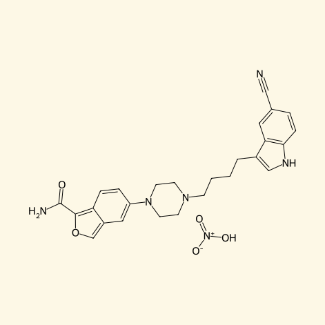 N#Cc1ccc2[nH]cc(CCCCN3CCN(c4ccc5c(C(N)=O)occ5c4)CC3)c2c1.O=[N+]([O-])O